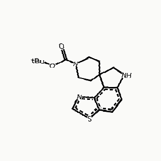 CC(C)(C)OC(=O)N1CCC2(CC1)CNc1ccc3scnc3c12